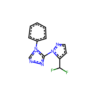 FC(F)c1[c]cnn1-c1nncn1-c1ccccc1